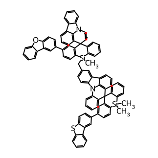 C[Si]1(C)c2ccccc2C2(c3ccccc3-n3c4ccc(C[Si]5(C)c6ccccc6C6(c7ccccc7-n7c8ccccc8c8cccc6c87)c6cc(-c7ccc8oc9ccccc9c8c7)ccc65)cc4c4cccc2c43)c2cc(-c3ccc4sc5ccccc5c4c3)ccc21